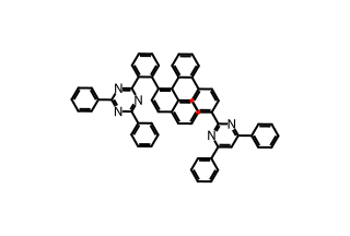 c1ccc(-c2cc(-c3ccccc3)nc(-c3ccc(-c4ccccc4-c4c(-c5ccccc5-c5nc(-c6ccccc6)nc(-c6ccccc6)n5)ccc5ccccc45)cc3)n2)cc1